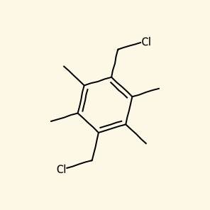 Cc1c(C)c(CCl)c(C)c(C)c1CCl